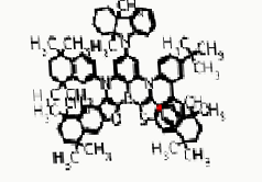 CC(C)(C)c1ccc(N2c3cc(N4c5ccccc5C5(C)CCCCC45C)cc4c3B(c3oc5cc6c(cc5c3N4c3ccc4c(c3)C(C)(C)CCC4(C)C)C(C)(C)CCC6(C)C)c3sc4cc5c(cc4c32)C(C)(C)CCC5(C)C)c(-c2ccccc2)c1